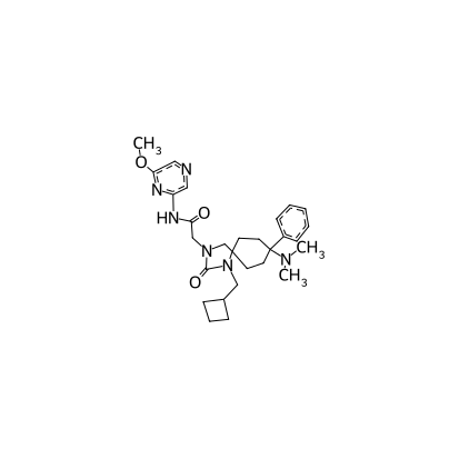 COc1cncc(NC(=O)CN2CC3(CCC(c4ccccc4)(N(C)C)CC3)N(CC3CCC3)C2=O)n1